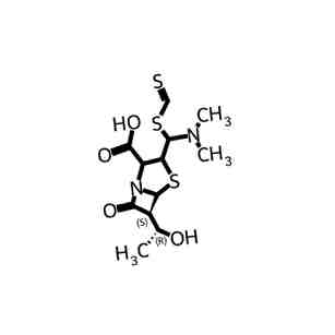 C[C@@H](O)[C@H]1C(=O)N2C(C(=O)O)C(C(SC=S)N(C)C)SC12